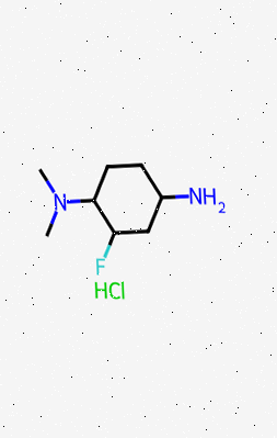 CN(C)C1CCC(N)CC1F.Cl